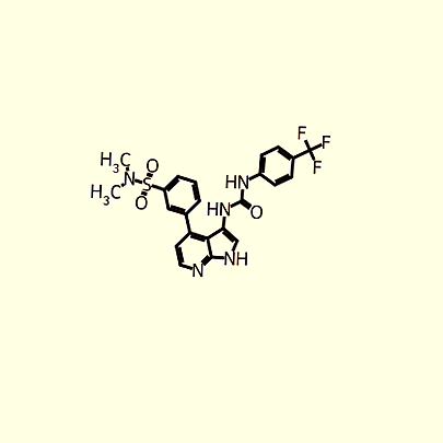 CN(C)S(=O)(=O)c1cccc(-c2ccnc3[nH]cc(NC(=O)Nc4ccc(C(F)(F)F)cc4)c23)c1